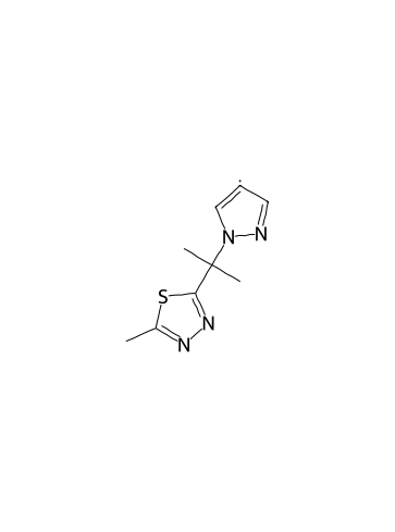 Cc1nnc(C(C)(C)n2c[c]cn2)s1